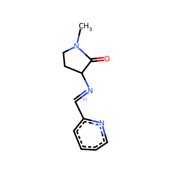 CN1CCC(/N=C/c2ccccn2)C1=O